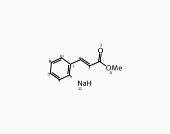 COC(=O)/C=C/c1ccccc1.[NaH]